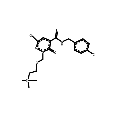 C[Si](C)(C)CCOCn1nc(Cl)cc(C(=O)NCc2ccc(Cl)cc2)c1=O